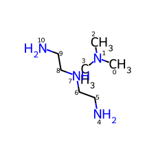 CN(C)C.NCCNCCN